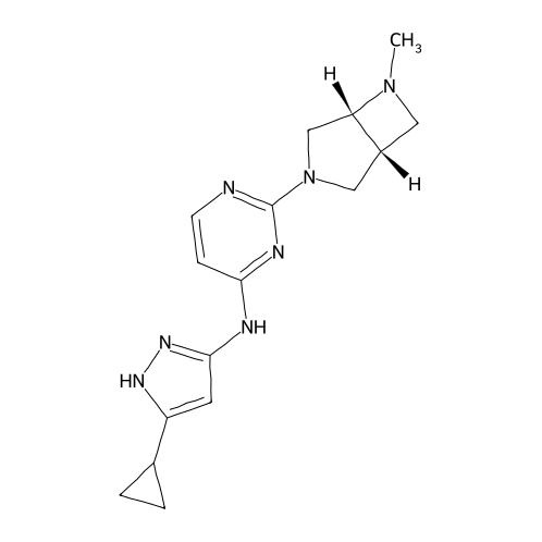 CN1C[C@@H]2CN(c3nccc(Nc4cc(C5CC5)[nH]n4)n3)C[C@@H]21